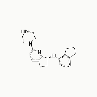 c1cc2c(c(O[C@H]3CCc4ccc(N5CCNCC5)nc43)c1)CCC2